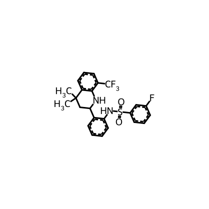 CC1(C)CC(c2ccccc2NS(=O)(=O)c2cccc(F)c2)Nc2c(C(F)(F)F)cccc21